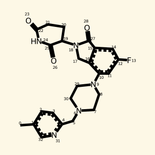 Cc1ccc(CN2CCN(c3cc(F)cc4c3CN(C3CCC(=O)NC3=O)C4=O)CC2)nc1